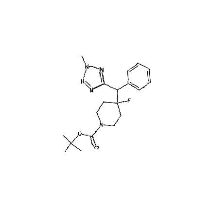 Cn1nnc(C(c2ccccc2)C2(F)CCN(C(=O)OC(C)(C)C)CC2)n1